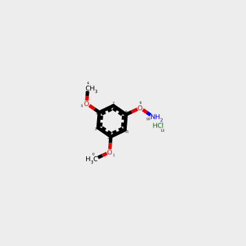 COc1cc(OC)cc(ON)c1.Cl